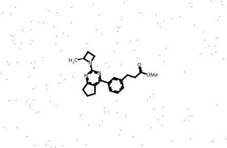 COC(=O)CCc1cccc(-c2nc(N3CC[C@@H]3C)nc3c2CCC3)c1